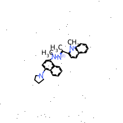 C/C(=N\N(C)c1ccc(N2CCCC2)c2ccccc12)c1ccc2ccccc2[n+]1C